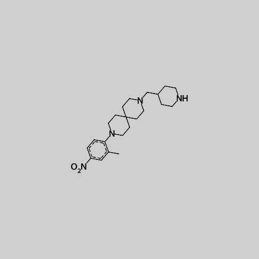 Cc1cc([N+](=O)[O-])ccc1N1CCC2(CCN(CC3CCNCC3)CC2)CC1